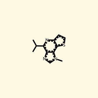 CC(C)c1nc2ccsc2c2c1ncn2C